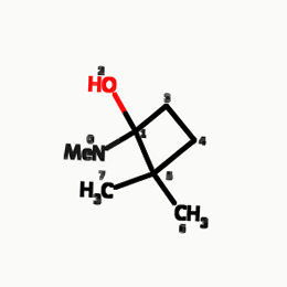 CNC1(O)CCC1(C)C